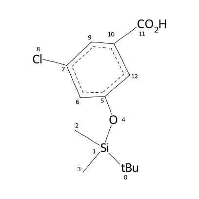 CC(C)(C)[Si](C)(C)Oc1cc(Cl)cc(C(=O)O)c1